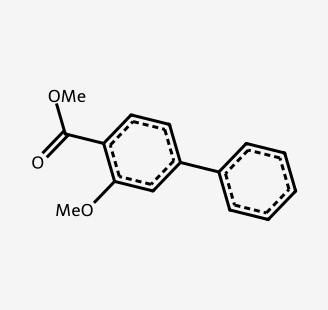 COC(=O)c1ccc(-c2ccccc2)cc1OC